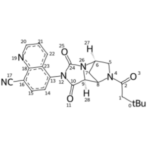 CC(C)(C)CC(=O)N1C[C@H]2CC1[C@H]1C(=O)N(c3ccc(C#N)c4ncccc34)C(=O)N21